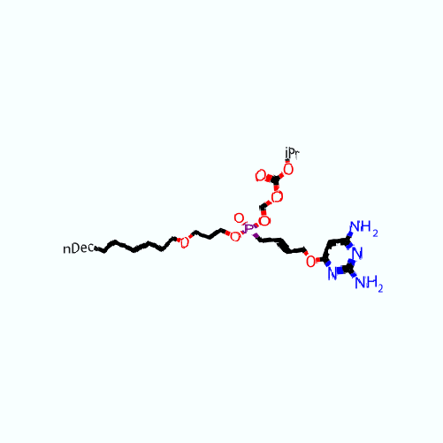 CCCCCCCCCCCCCCCCOCCCOP(=O)(C/C=C/COc1cc(N)nc(N)n1)OCOC(=O)OC(C)C